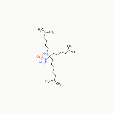 CC(C)CCCCCC(CCCCCC(C)C)(CCCCC(C)C)NP(N)(N)=O